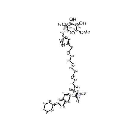 CO[C@H]1O[C@H](Cn2cc(COCCOCCOCCNC(=O)/C(C#N)=C(/C)c3ccc4cc(N5CCCCC5)ccc4c3)nn2)[C@@H](O)[C@H](O)[C@H]1O